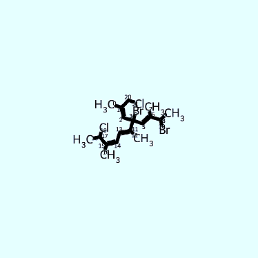 CC(=CC(Br)(C=C(C)C(C)Br)C(C)=CC=C(C)C(C)Cl)CCl